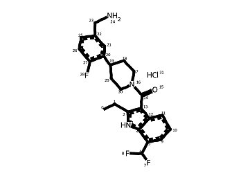 CCc1[nH]c2c(C(F)F)cccc2c1C(=O)N1CCC(c2cc(CN)ccc2F)CC1.Cl